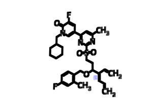 C=C/C=C(\C=C)C(CCS(=O)(=O)c1nc(C)cc(-c2cc(F)c(=O)n(CC3CCCCC3)c2)n1)OCc1ccc(F)cc1C